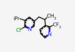 CC(C)c1cc(CC(C)c2cccnc2C(F)(F)F)cnc1Cl